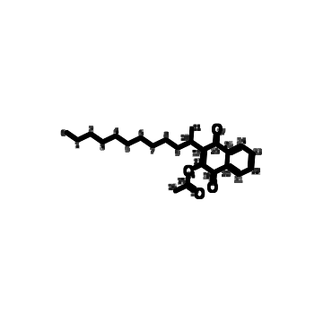 CCCCCCCCCCC(C)C1=C(OC(C)=O)C(=O)c2ccccc2C1=O